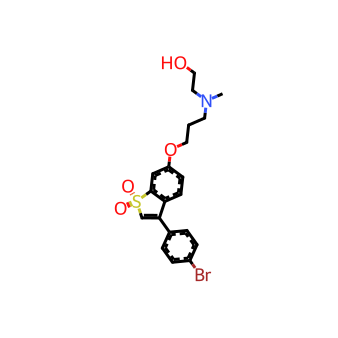 CN(CCO)CCCOc1ccc2c(c1)S(=O)(=O)C=C2c1ccc(Br)cc1